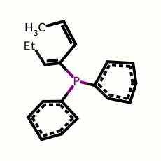 C/C=C\C(=C/CC)P(c1ccccc1)c1ccccc1